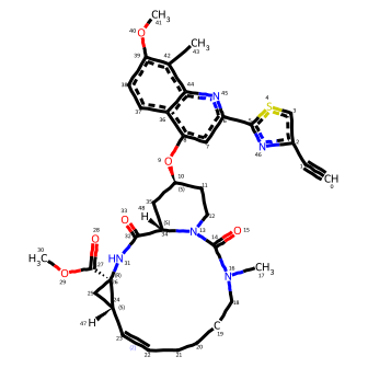 C#Cc1csc(-c2cc(O[C@H]3CCN4C(=O)N(C)CCCC/C=C\[C@@H]5C[C@@]5(C(=O)OC)NC(=O)[C@@H]4C3)c3ccc(OC)c(C)c3n2)n1